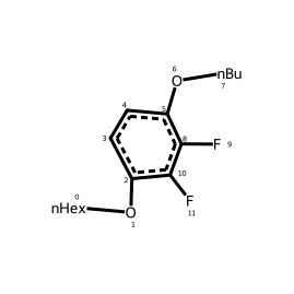 CCCCCCOc1ccc(OCCCC)c(F)c1F